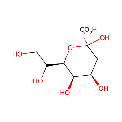 O=C(O)[C@]1(O)C[C@@H](O)[C@@H](O)[C@@H](C(O)CO)O1